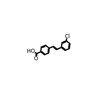 O=C(O)c1ccc(C=Cc2cccc(Cl)c2)cc1